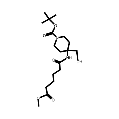 COC(=O)CCCCC(=O)NC1(CO)CCN(C(=O)OC(C)(C)C)CC1